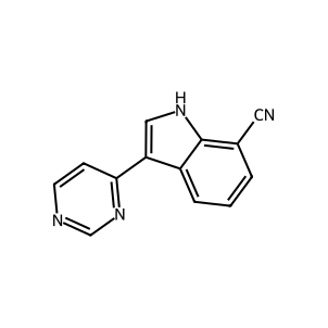 N#Cc1cccc2c(-c3ccncn3)c[nH]c12